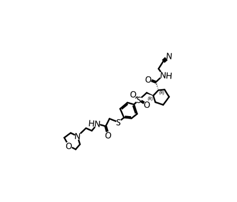 N#CCNC(=O)[C@@H]1CCCC[C@H]1CS(=O)(=O)c1ccc(SCC(=O)NCCN2CCOCC2)cc1